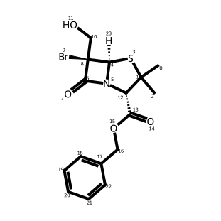 CC1(C)S[C@H]2N(C(=O)[C@]2(Br)CO)[C@H]1C(=O)OCc1ccccc1